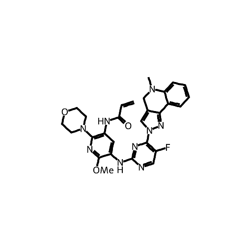 C=CC(=O)Nc1cc(Nc2ncc(F)c(-n3cc4c(n3)-c3ccccc3N(C)C4)n2)c(OC)nc1N1CCOCC1